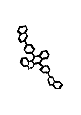 c1ccc2cc(-c3ccc(-c4c5ccccc5c(-c5ccc(-c6ccc7ccccc7c6)cc5)c5c4cnc4ccccc45)cc3)ccc2c1